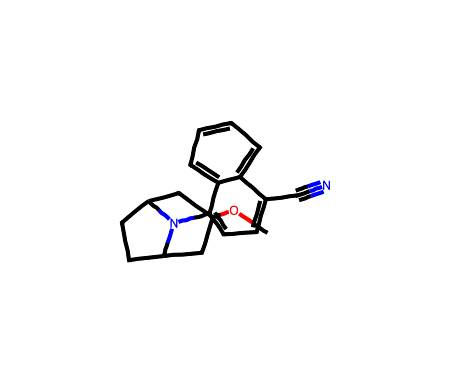 COC1CC2CCC(C1)N2c1ccc(C#N)c2ccccc12